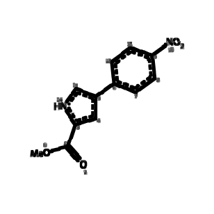 COC(=O)c1cc(-c2ccc([N+](=O)[O-])cc2)c[nH]1